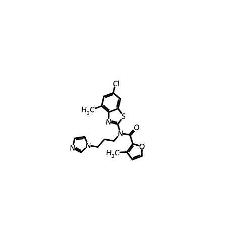 Cc1ccoc1C(=O)N(CCCn1ccnc1)c1nc2c(C)cc(Cl)cc2s1